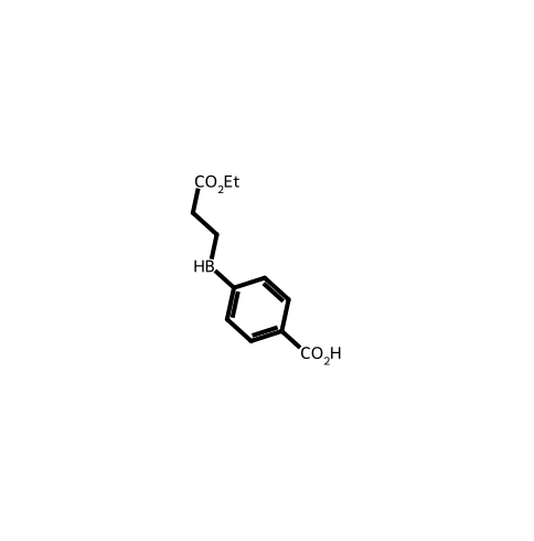 CCOC(=O)CCBc1ccc(C(=O)O)cc1